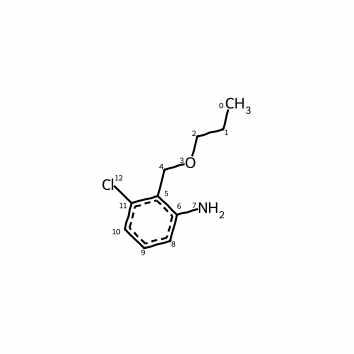 CCCOCc1c(N)cccc1Cl